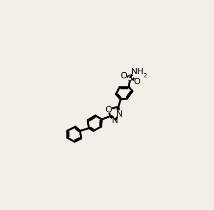 NS(=O)(=O)c1ccc(-c2nnc(-c3ccc(-c4ccccc4)cc3)o2)cc1